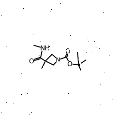 CNC(=O)C1(C)CN(C(=O)OC(C)(C)C)C1